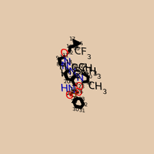 CC1CN(c2nc(-n3ccc(OCCC4(C(F)(F)F)CC4)n3)ccc2C(=O)NS(=O)(=O)c2ccccc2)C(C)([Si](C)(C)C)C1